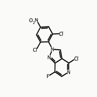 O=[N+]([O-])c1cc(Cl)c(-n2cc3c(Cl)ncc(F)c3n2)c(Cl)c1